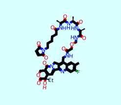 CC[C@@]1(O)C(=O)OCc2c1cc1n(c2=O)Cc2c-1nc1cc(F)c(C)cc1c2CNC(=O)COCNC(=O)[C@H](C)NC(=O)[C@H](C)NC(=O)[C@H](C)NC(=O)CCCCCN1C(=O)C=CC1=O